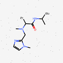 CC(C)C(C(=O)NC(C)C(C)(C)C)N(C)Cc1nccn1C